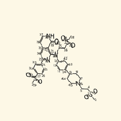 CS(=O)(=O)CCN1CCC(c2ccc(N(CCS(C)(=O)=O)c3nc(-c4ccc(S(C)(=O)=O)cc4)cc4cc[nH]c(=O)c34)cc2)CC1